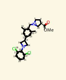 COC(=O)[C@@H]1CCN(Cc2c(C)cc(C3CN(c4c(Cl)cccc4Cl)C3)cc2C)C1